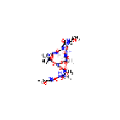 CC(=O)CCc1cn(CCCOCCNCC(=O)CN(C)C(=O)CN(C)C(=O)CCOCCN(CCOCCC(=O)N(C)CC(=O)N(C)CC(=O)NCCOCCn2cc(CCC(C)=O)nn2)CCOCCC(=O)N(C)CC(=O)N(C)CC(=O)NCCOCCn2cc(CCC(C)=O)nn2)nn1